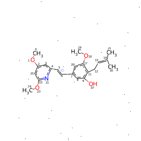 COc1cc(/C=C/c2cc(O)c(CC=C(C)C)c(OC)c2)nc(OC)c1